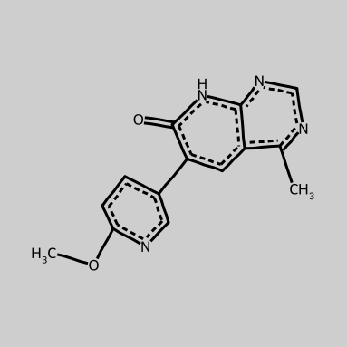 COc1ccc(-c2cc3c(C)ncnc3[nH]c2=O)cn1